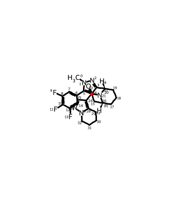 Cn1nc2c(c1-c1cc(F)c(F)c(F)c1)C[C@H]1CCC[C@@H]2N1C(=O)c1cnn2c1CCCC2